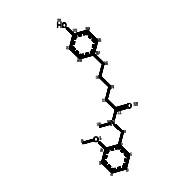 COc1ccccc1CN(C)C(=O)CCCCc1ccc(O)cc1